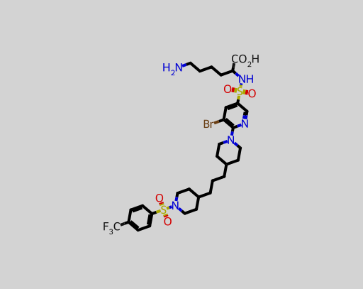 NCCCCC(NS(=O)(=O)c1cnc(N2CCC(CCCC3CCN(S(=O)(=O)c4ccc(C(F)(F)F)cc4)CC3)CC2)c(Br)c1)C(=O)O